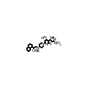 CCCc1cc(N2CCC(NCC(O)c3cccc4ccccc34)CC2)nc2sc3c(N)ncnc3c12